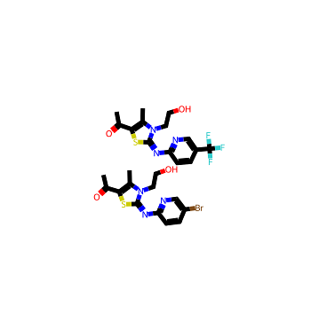 CC(=O)c1sc(=Nc2ccc(Br)cn2)n(CCO)c1C.CC(=O)c1sc(=Nc2ccc(C(F)(F)F)cn2)n(CCO)c1C